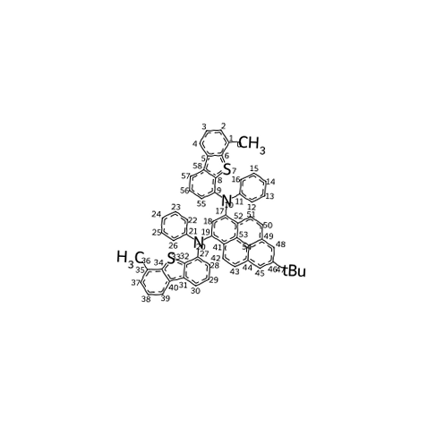 Cc1cccc2c1sc1c(N(c3ccccc3)c3cc(N(c4ccccc4)c4cccc5c4sc4c(C)cccc45)c4ccc5cc(C(C)(C)C)cc6ccc3c4c65)cccc12